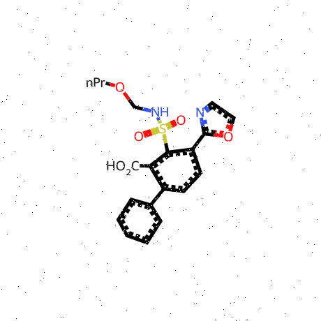 CCCOCNS(=O)(=O)c1c(-c2ncco2)ccc(-c2ccccc2)c1C(=O)O